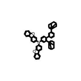 c1cc(-c2ccc(N(c3ccc4c(c3)oc3ccccc34)c3ccc4c(c3)oc3ccccc34)cc2C2C3CC4CC(C3)CC2C4)cc(C2C3CC4CC(C3)CC2C4)c1